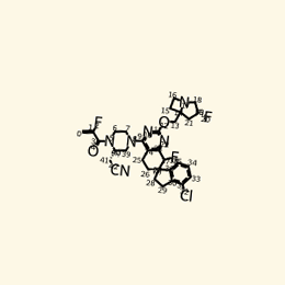 C=C(F)C(=O)N1CCN(c2nc(OCC34CCN3C[C@H](F)C4)nc3c2CC[C@@]2(CCc4c(Cl)cccc42)C3F)C[C@@H]1CC#N